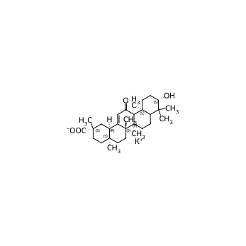 CC1(C)C2CC[C@]3(C)C(C(=O)C=C4[C@@H]5C[C@@](C)(C(=O)[O-])CC[C@]5(C)CC[C@]43C)[C@@]2(C)CC[C@@H]1O.[K+]